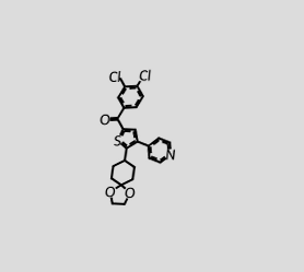 O=C(c1ccc(Cl)c(Cl)c1)c1cc(-c2ccncc2)c(C2CCC3(CC2)OCCO3)s1